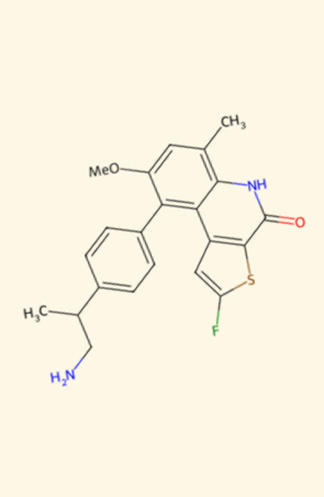 COc1cc(C)c2[nH]c(=O)c3sc(F)cc3c2c1-c1ccc(C(C)CN)cc1